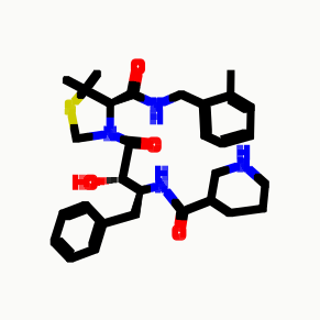 Cc1ccccc1CNC(=O)[C@H]1N(C(=O)[C@@H](O)[C@H](Cc2ccccc2)NC(=O)C2CCCNC2)CSC1(C)C